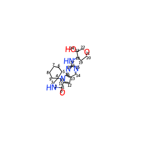 O=C1NCC2(CCCCC2)n2c1cc1cnc(N[C@@H]3CCOC[C@H]3O)nc12